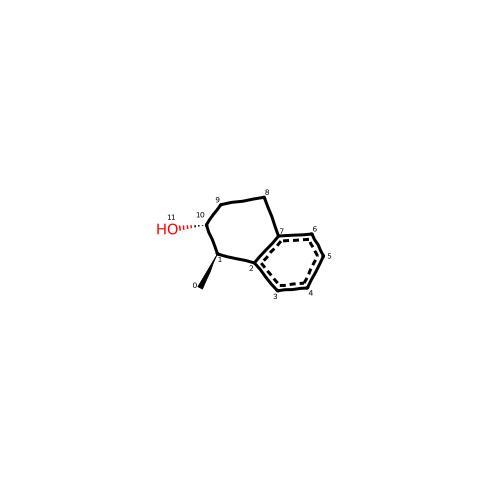 C[C@@H]1c2ccccc2CC[C@H]1O